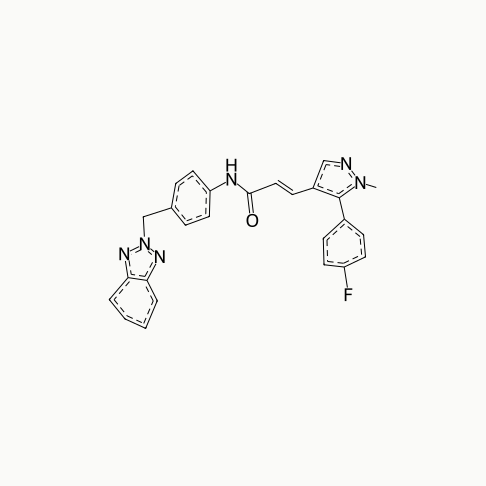 Cn1ncc(C=CC(=O)Nc2ccc(Cn3nc4ccccc4n3)cc2)c1-c1ccc(F)cc1